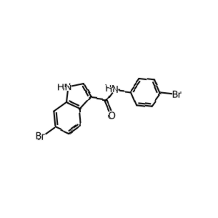 O=C(Nc1ccc(Br)cc1)c1c[nH]c2cc(Br)ccc12